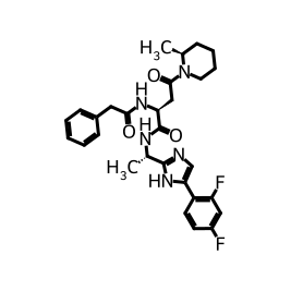 C[C@H](NC(=O)[C@H](CC(=O)N1CCCC[C@@H]1C)NC(=O)Cc1ccccc1)c1ncc(-c2ccc(F)cc2F)[nH]1